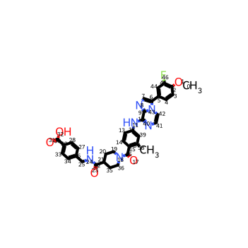 COc1ccc(-c2cnc3c(Nc4ccc(C(=O)N5CCC(C(=O)NCc6ccc(C(=O)O)cc6)CC5)c(C)c4)nccn23)cc1F